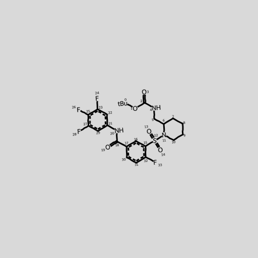 CC(C)(C)OC(=O)NCC1CCCCN1S(=O)(=O)c1cc(C(=O)Nc2cc(F)c(F)c(F)c2)ccc1F